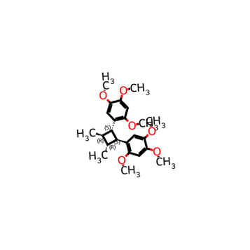 COc1cc(OC)c([C@H]2[C@H](C)[C@@H](C)[C@@H]2c2cc(OC)c(OC)cc2OC)cc1OC